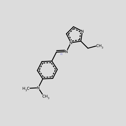 CCc1nccn1/N=C/c1ccc(N(C)C)cc1